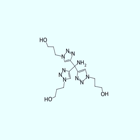 NC(c1cn(CCCO)nn1)(c1cn(CCCO)nn1)c1cn(CCCO)nn1